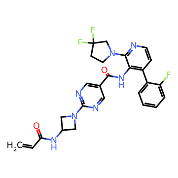 C=CC(=O)NC1CN(c2ncc(C(=O)Nc3c(-c4ccccc4F)ccnc3N3CCC(F)(F)C3)cn2)C1